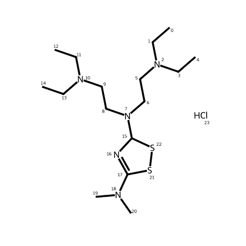 CCN(CC)CCN(CCN(CC)CC)C1N=C(N(C)C)SS1.Cl